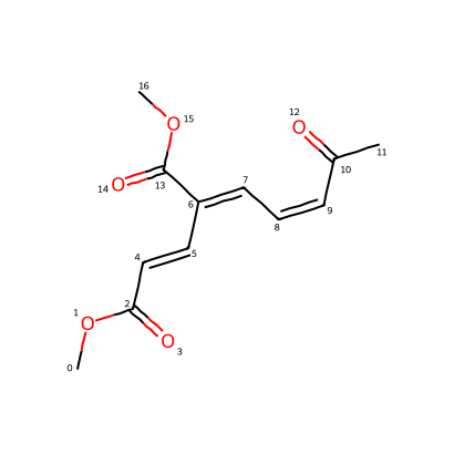 COC(=O)/C=C/C(=C\C=C/C(C)=O)C(=O)OC